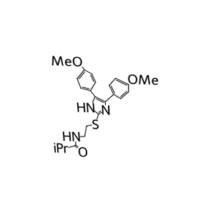 COc1ccc(-c2nc(SCCNC(=O)C(C)C)[nH]c2-c2ccc(OC)cc2)cc1